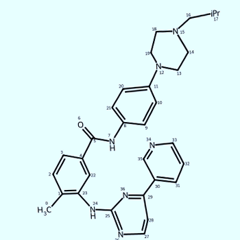 Cc1ccc(C(=O)Nc2ccc(N3CCN(CC(C)C)CC3)cc2)cc1Nc1nccc(-c2cccnc2)n1